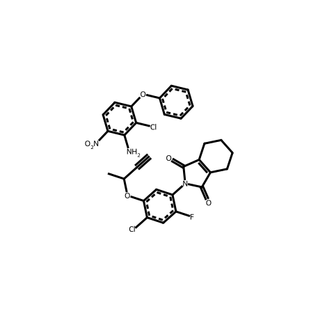 C#CC(C)Oc1cc(N2C(=O)C3=C(CCCC3)C2=O)c(F)cc1Cl.Nc1c([N+](=O)[O-])ccc(Oc2ccccc2)c1Cl